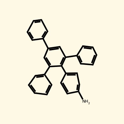 Nc1ccc(-c2c(-c3ccccc3)cc(-c3ccccc3)cc2-c2ccccc2)cc1